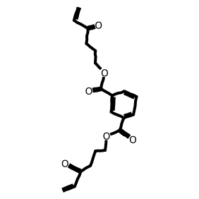 C=CC(=O)CCCOC(=O)c1cccc(C(=O)OCCCC(=O)C=C)c1